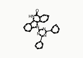 O=c1[nH]c2c3ccccc3n(-c3nc(-c4ccccc4)nc(-c4ccccc4)n3)c2c2ccccc12